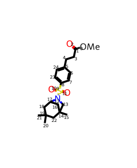 COC(=O)CCc1ccc(S(=O)(=O)N2CC3(C)CC2CC(C)(C)C3)cc1